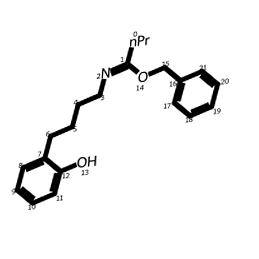 CCCC(=NCCCCc1ccccc1O)OCc1ccccc1